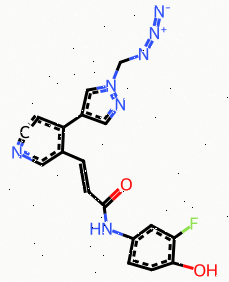 [N-]=[N+]=NCn1cc(-c2ccncc2/C=C/C(=O)Nc2ccc(O)c(F)c2)cn1